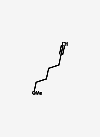 C#CCCCCO[CH2]